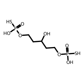 O=P(O)(S)OCCC(O)CCOP(=O)(O)S